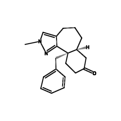 Cn1cc2c(n1)[C@]1(Cc3ccccc3)CCC(=O)C[C@@H]1CCC2